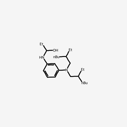 CCCCC(CC)CN(CC(CC)CCCC)c1cccc(NC(O)CC)c1